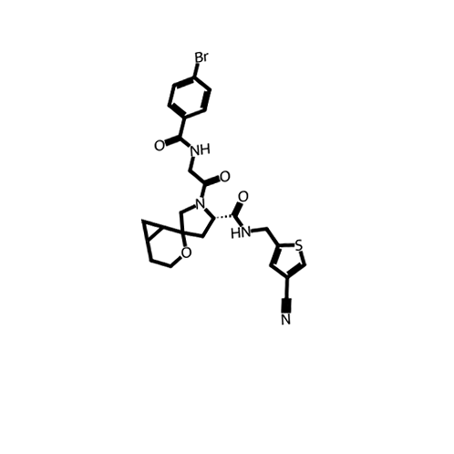 N#Cc1csc(CNC(=O)[C@@H]2CC3(CN2C(=O)CNC(=O)c2ccc(Br)cc2)OCCC2CC23)c1